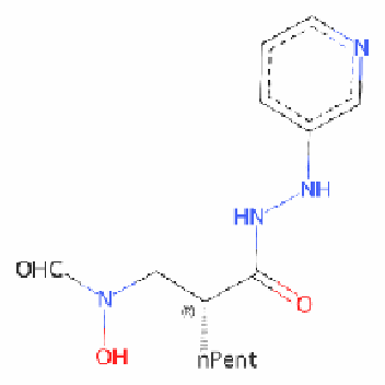 CCCCC[C@H](CN(O)C=O)C(=O)NNc1cccnc1